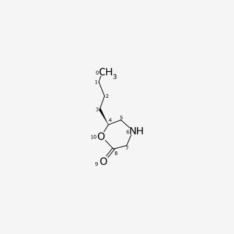 CCCC[C@H]1CNCC(=O)O1